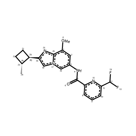 COc1cc(NC(=O)c2cccc(C(F)F)n2)cn2cc([C@@H]3CC[C@H]3C)nc12